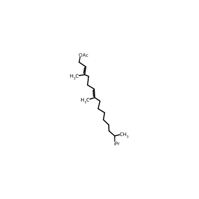 CC(=O)OC/C=C(\C)CC/C=C(\C)CCCCCCC(C)C(C)C